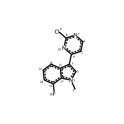 Cn1cc(-c2ccnc(Cl)n2)c2cccc(F)c21